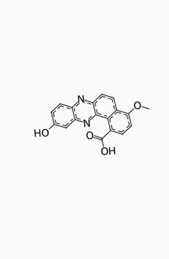 COc1ccc(C(=O)O)c2c1ccc1nc3ccc(O)cc3nc12